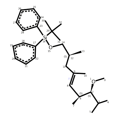 CO[C@@H](C(C)C)[C@@H](C)/C=C(\C)C[C@H](C)CO[Si](c1ccccc1)(c1ccccc1)C(C)(C)C